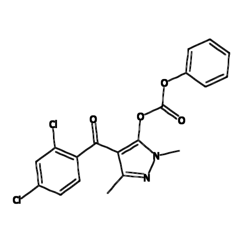 Cc1nn(C)c(OC(=O)Oc2ccccc2)c1C(=O)c1ccc(Cl)cc1Cl